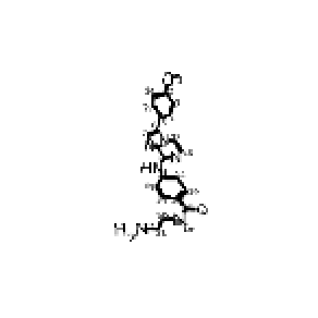 COc1ccc(-c2cnc3c(Nc4ccc(C(=O)N(C)CCN)cc4)nccn23)cc1